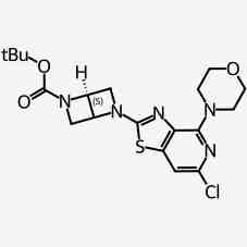 CC(C)(C)OC(=O)N1CC2[C@@H]1CN2c1nc2c(N3CCOCC3)nc(Cl)cc2s1